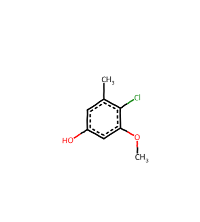 COc1cc(O)cc(C)c1Cl